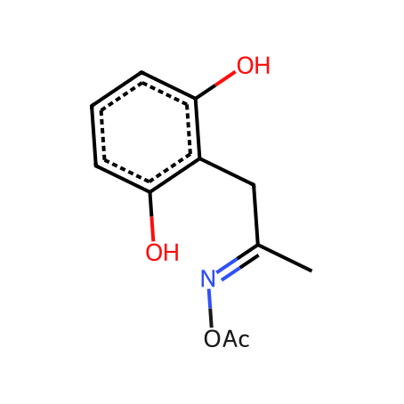 CC(=O)ON=C(C)Cc1c(O)cccc1O